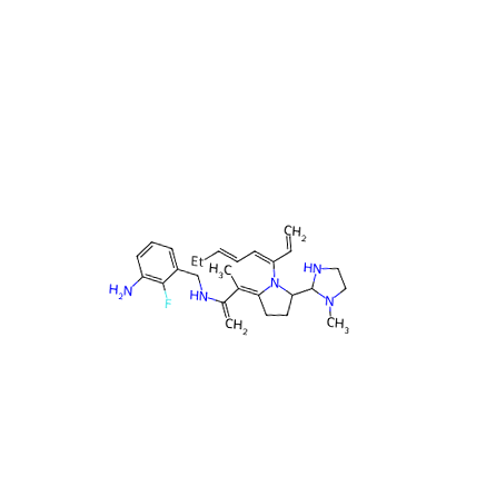 C=C/C(=C/C=C/CC)N1/C(=C(\C)C(=C)NCc2cccc(N)c2F)CCC1C1NCCN1C